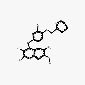 CCOc1cc2nc(CC)c(C#N)c(Nc3ccc(OCc4ccccn4)c(Cl)c3)c2cc1N